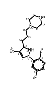 CCC1=CN(c2cc(F)ccc2F)NC1CCCN1CCOCC1